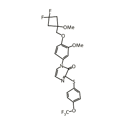 COc1cc(-n2ccnc(Sc3ccc(OC(F)(F)F)cc3)c2=O)ccc1OCC1(OC)CC(F)(F)C1